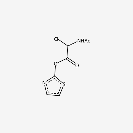 CC(=O)NC(Cl)C(=O)Oc1nccs1